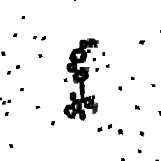 CC(C)Oc1ccc(Oc2ncc(C#CC(C)N3C(=O)c4ccccc4C3=O)s2)cc1